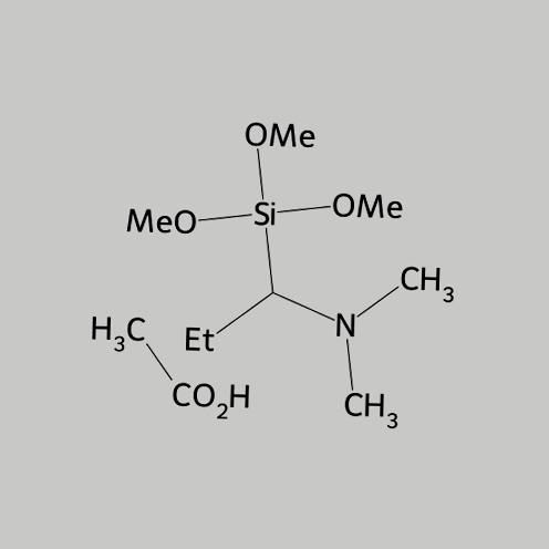 CC(=O)O.CCC(N(C)C)[Si](OC)(OC)OC